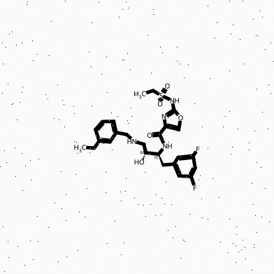 CCc1cccc(CNC[C@@H](O)[C@H](Cc2cc(F)cc(F)c2)NC(=O)c2coc(NS(=O)(=O)CC)n2)c1